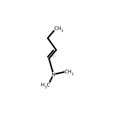 CC/C=C/N(C)C